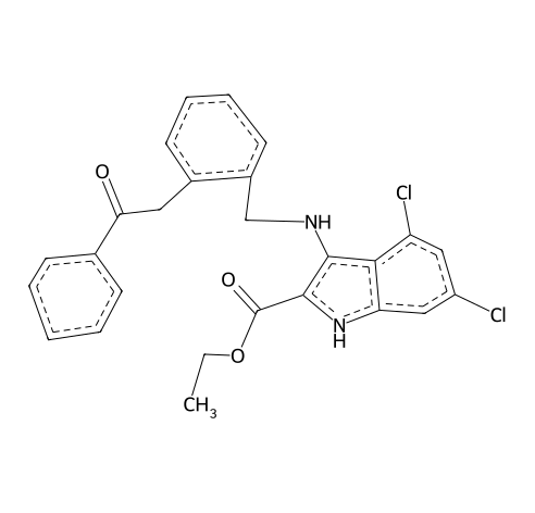 CCOC(=O)c1[nH]c2cc(Cl)cc(Cl)c2c1NCc1ccccc1CC(=O)c1ccccc1